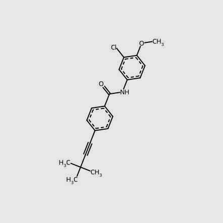 COc1ccc(NC(=O)c2ccc(C#CC(C)(C)C)cc2)cc1Cl